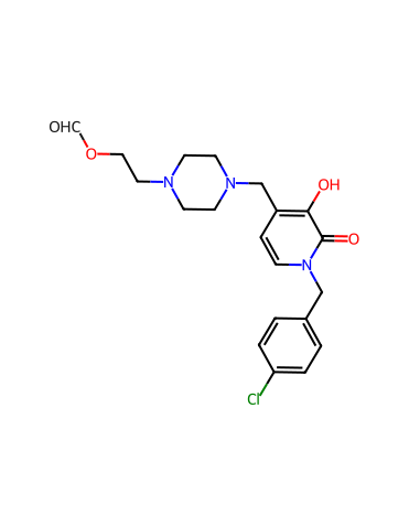 O=COCCN1CCN(Cc2ccn(Cc3ccc(Cl)cc3)c(=O)c2O)CC1